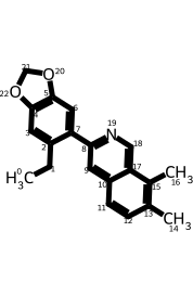 CCc1cc2c(cc1-c1cc3ccc(C)c(C)c3cn1)OCO2